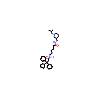 CC(C)CN1CCCC(CNC(=O)CCCCCNC(=O)CC(c2ccccc2)(c2ccccc2)c2ccccc2)C1